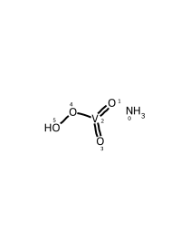 N.[O]=[V](=[O])[O]O